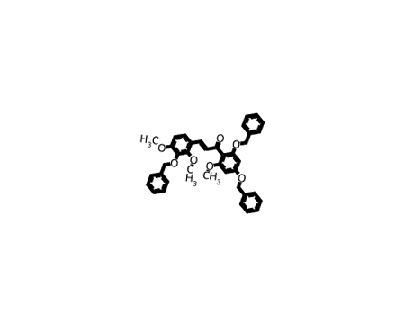 COc1ccc(C=CC(=O)c2c(OC)cc(OCc3ccccc3)cc2OCc2ccccc2)c(OC)c1OCc1ccccc1